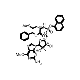 COc1nc(N)nc2c1ncn2C1O[C@H](COP(=O)(N[C@@H](CCSC)C(=O)OCc2ccccc2)Oc2cccc3ccccc23)[C@@H](O)[C@@]1(C)O